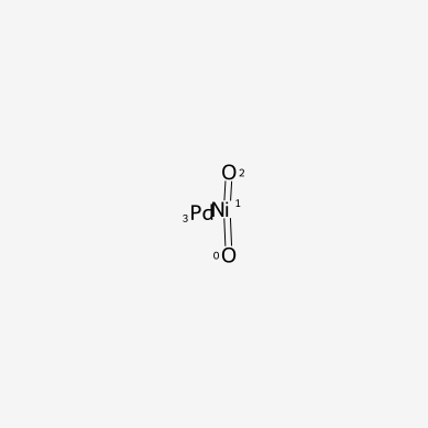 [O]=[Ni]=[O].[Pd]